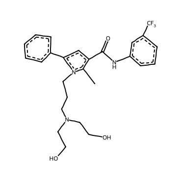 Cc1c(C(=O)Nc2cccc(C(F)(F)F)c2)cc(-c2ccccc2)n1CCCN(CCO)CCO